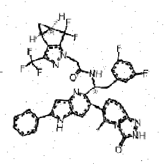 Cc1c(-c2cc3[nH]c(-c4ccccc4)cc3nc2[C@H](Cc2cc(F)cc(F)c2)NC(=O)Cn2nc(C(F)(F)F)c3c2C(F)(F)[C@@H]2C[C@H]32)ccc2n[nH]c(=O)n12